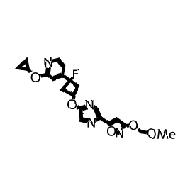 COCOc1cc(-c2cnc(OC3CC(F)(c4ccnc(OC5CC5)c4)C3)cn2)on1